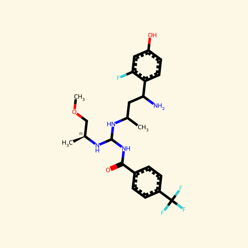 COC[C@H](C)NC(NC(=O)c1ccc(C(F)(F)F)cc1)NC(C)CC(N)c1ccc(O)cc1F